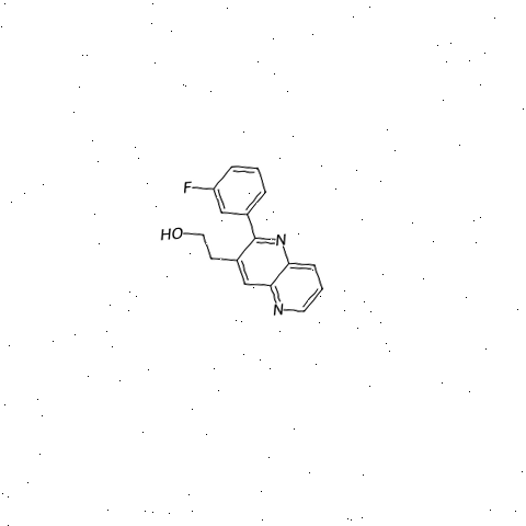 OCCc1cc2ncccc2nc1-c1cccc(F)c1